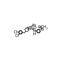 CC(C)C(CN1CCC(Cc2ccc(Cl)c(Cl)c2)CC1)NC(=O)Nc1cccc(S(C)(=O)=O)c1